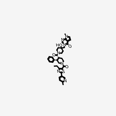 CCc1nc(-c2ccc(C)nc2)sc1C(=O)N1CC[C@@H](C(=O)N2CCC(O)(Cn3cnc4c(ccn4C)c3=O)CC2)[C@H](c2ccccc2)C1